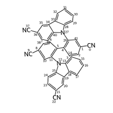 N#Cc1ccc(-c2ccc(C#N)cc2-n2c3ccccc3c3cc(C#N)ccc32)c(-n2c3ccccc3c3cc(C#N)ccc32)c1